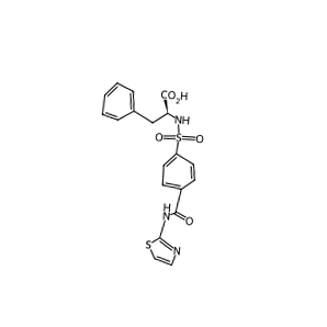 O=C(Nc1nccs1)c1ccc(S(=O)(=O)N[C@@H](Cc2ccccc2)C(=O)O)cc1